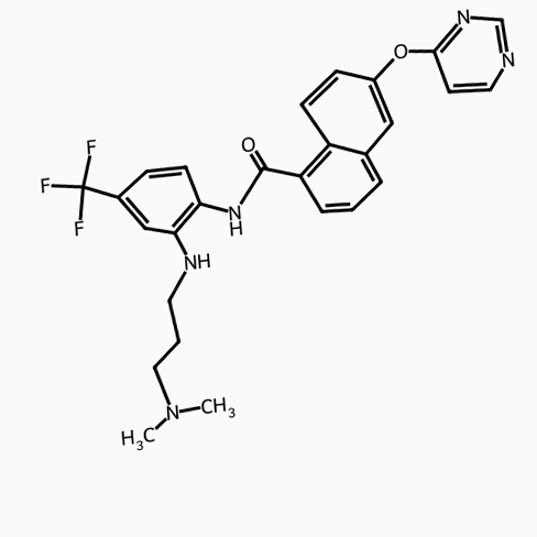 CN(C)CCCNc1cc(C(F)(F)F)ccc1NC(=O)c1cccc2cc(Oc3ccncn3)ccc12